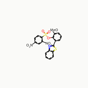 COc1cccc(-c2nc3ccccc3s2)c1OS(=O)(=O)c1ccc([N+](=O)[O-])cc1[N+](=O)[O-]